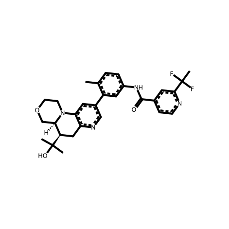 Cc1ccc(NC(=O)c2ccnc(C(C)(F)F)c2)cc1-c1cnc2c(c1)N1CCOC[C@@H]1[C@H](C(C)(C)O)C2